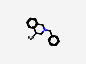 B[C@@H]1CN(Cc2ccccc2)Cc2ccccc21